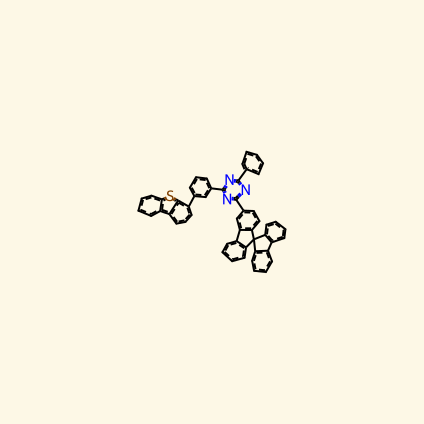 c1ccc(-c2nc(-c3cccc(-c4cccc5c4sc4ccccc45)c3)nc(-c3ccc4c(c3)-c3ccccc3C43c4ccccc4-c4ccccc43)n2)cc1